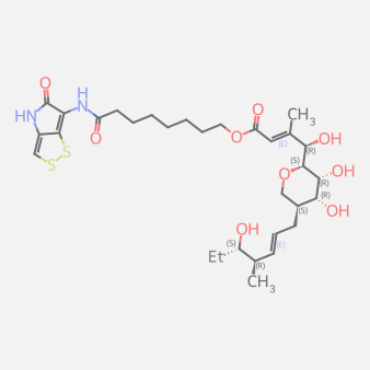 CC[C@H](O)[C@H](C)/C=C/C[C@H]1CO[C@@H]([C@H](O)/C(C)=C/C(=O)OCCCCCCCC(=O)Nc2c3sscc-3[nH]c2=O)[C@H](O)[C@@H]1O